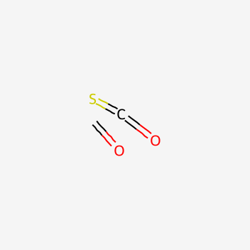 C=O.O=C=S